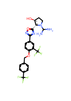 NC(N)N1CC[C@H](O)[C@H]1c1nc(-c2ccc(OCc3ccc(C(F)(F)F)cc3)c(C(F)(F)F)c2)no1